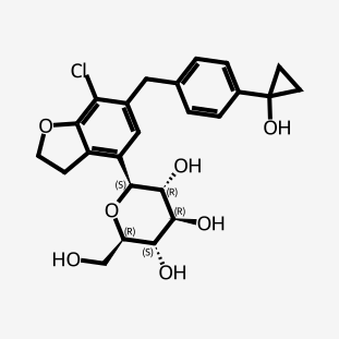 OC[C@H]1O[C@@H](c2cc(Cc3ccc(C4(O)CC4)cc3)c(Cl)c3c2CCO3)[C@H](O)[C@@H](O)[C@@H]1O